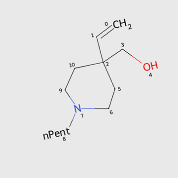 C=CC1(CO)CCN(CCCCC)CC1